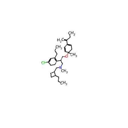 C=C(CC)C1=CCC(C)(OCC(CN(C)CC2CCC2CCC)C2=C(CCC)C=C(Cl)CC2)C=C1